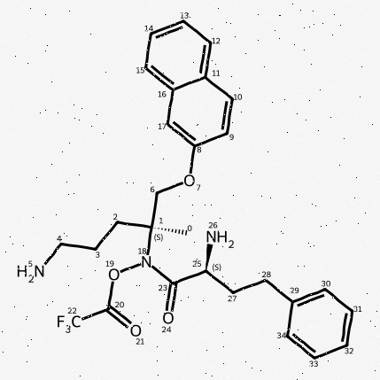 C[C@](CCCN)(COc1ccc2ccccc2c1)N(OC(=O)C(F)(F)F)C(=O)[C@@H](N)CCc1ccccc1